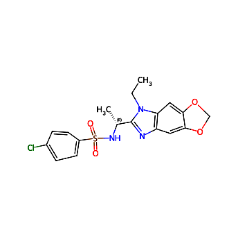 CCn1c([C@@H](C)NS(=O)(=O)c2ccc(Cl)cc2)nc2cc3c(cc21)OCO3